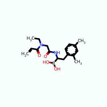 C=CC(=O)N(CC)CC(=O)NC(Cc1ccc(C)cc1C)B(O)O